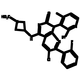 Cc1ccnc(C(C)C)c1-n1c(=O)nc(NC2CN(C(=O)O)C2)c2cc(Cl)c(-c3ccccc3F)nc21